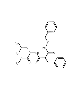 COC(=O)[C@H](CC(C)C)NC(=O)C(Cc1ccccc1)C(=O)NOCc1ccccc1